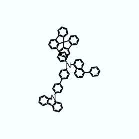 c1ccc(-c2cccc3c(N(c4ccc(-c5ccc(-n6c7ccccc7c7ccccc76)cc5)cc4)c4ccc(-c5cccc6c5C5(c7ccccc7-c7ccccc75)c5ccccc5-6)cc4)cccc23)cc1